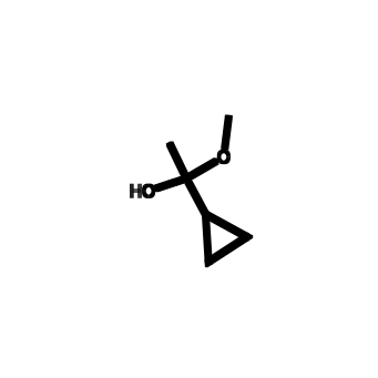 COC(C)(O)C1CC1